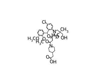 COc1cccc(C2O[C@H](CC(=O)N3CCC(CC(=O)O)CC3)C(=O)N(CC(C)(C)CO)c3ccc(Cl)cc32)c1OC